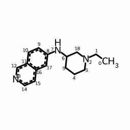 CCN1CCCC(Nc2ccc3cnccc3c2)C1